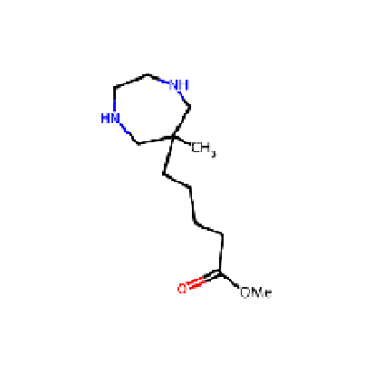 COC(=O)CCCCC1(C)CNCCNC1